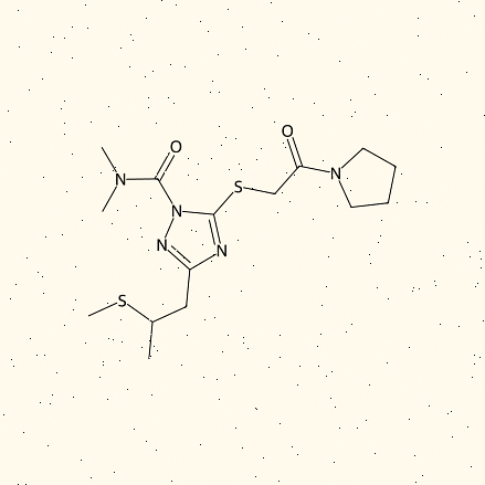 CSC(C)Cc1nc(SCC(=O)N2CCCC2)n(C(=O)N(C)C)n1